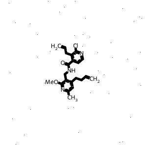 C=CCCc1cc(C)nc(OC)c1CNC(=O)c1ccnc(Cl)c1CC=C